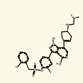 CC(C)n1nc(-c2ccc(NS(=O)(=O)Cc3ccccc3Cl)c(F)c2)c2c(N)ncc(C3=CC[C@H](NC[C@H](C)F)CC3)c21